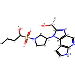 CCCC(O)S(=O)(=O)N1CCC(n2c([C@@H](C)O)nc3cnc4[nH]ccc4c32)C1